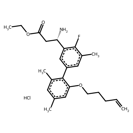 C=CCCCOc1cc(C)cc(C)c1-c1cc(C)c(F)c([C@@H](N)CC(=O)OCC)c1.Cl